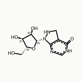 O=c1[nH]cnc2c1CNN2[C@@H]1O[C@H](CO)[C@@H](O)[C@H]1O